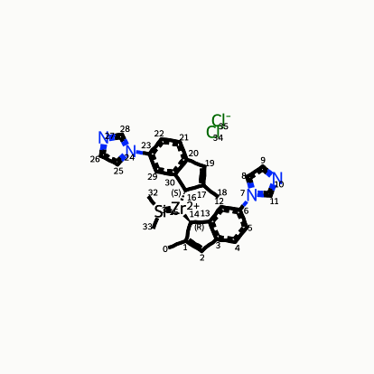 CC1=Cc2ccc(-n3ccnc3)cc2[C@@H]1[Zr+2]([C@H]1C(C)=Cc2ccc(-n3ccnc3)cc21)=[Si](C)C.[Cl-].[Cl-]